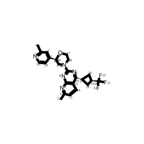 Cc1cc([C@@H]2CN(c3nc4nc(C)ccc4c([C@H]4C[C@H](C(F)(F)F)C4)n3)CCO2)ccn1